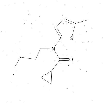 CCCCN(C(=O)C1CC1)c1ccc(C)s1